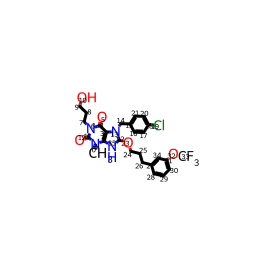 Cn1c2c(c(=O)n(CCCO)c1=O)N(Cc1ccc(Cl)cc1)C(OCCCc1cccc(OC(F)(F)F)c1)N2